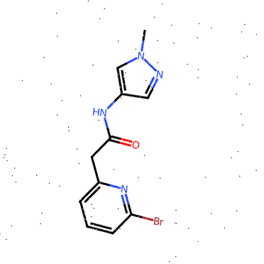 Cn1cc(NC(=O)Cc2cccc(Br)n2)cn1